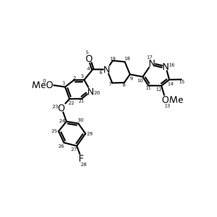 COc1cc(C(=O)N2CCC(c3cc(OC)c(C)nn3)CC2)ncc1Oc1ccc(F)cc1